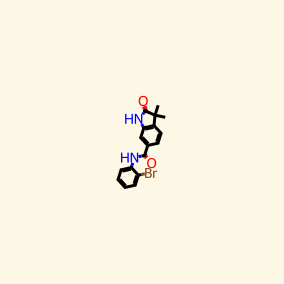 CC1(C)C(=O)Nc2cc(C(=O)Nc3ccccc3Br)ccc21